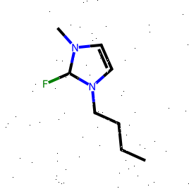 CCCCN1C=CN(C)C1F